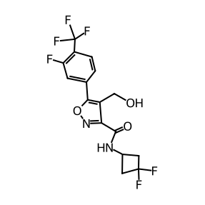 O=C(NC1CC(F)(F)C1)c1noc(-c2ccc(C(F)(F)F)c(F)c2)c1CO